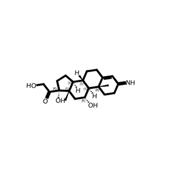 C[C@]12CCC(=N)C=C1CC[C@@H]1[C@@H]2[C@H](O)C[C@@]2(C)[C@H]1CC[C@]2(O)C(=O)CO